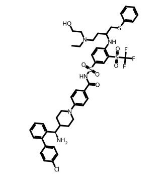 CCN(CCO)CCC(CSc1ccccc1)Nc1ccc(S(=O)(=O)NC(=O)c2ccc(N3CCC([C@@H](N)c4ccccc4-c4ccc(Cl)cc4)CC3)cc2)cc1S(=O)(=O)C(F)(F)F